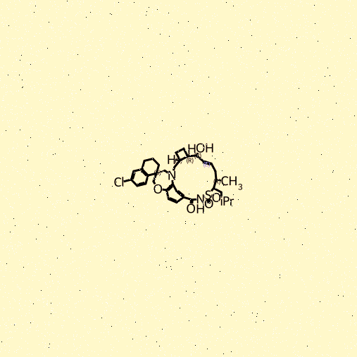 CC(C)CC1[C@H](C)C/C=C/[C@H](O)[C@@H]2CC[C@H]2CN2C[C@@]3(CCCc4cc(Cl)ccc43)COc3ccc(cc32)C(=O)NS1(=O)=O